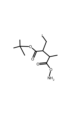 CC(C(=O)ON)C(CI)C(=O)OC(C)(C)C